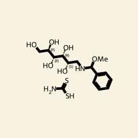 COC(NC[C@H](O)[C@@H](O)[C@H](O)[C@H](O)CO)c1ccccc1.NC(=S)S